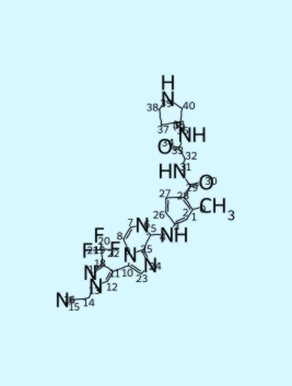 Cc1cc(Nc2nccn3c(-c4cn(CC#N)nc4C(F)(F)F)cnc23)ccc1C(=O)NCC(=O)N[C@@H]1CCNC1